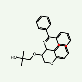 CC(C)(O)COC1COc2ccccc2C1N=C(c1ccccc1)c1ccccc1